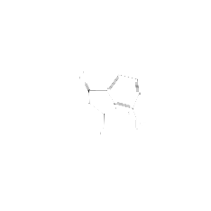 C=C1CC(C)c2c(Br)cccc21